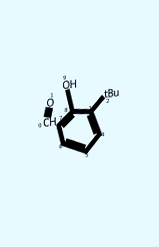 C=O.CC(C)(C)c1ccccc1O